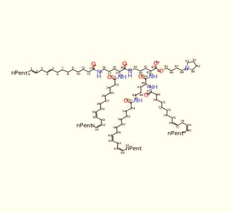 CCCCCC=CCC=CCCCCCCCC(=O)NCCCC(NC(=O)CCCCCCC/C=C\C/C=C\CCCCC)C(=O)NCCCC(NC(=O)C(CCCNC(=O)CCCCCCC/C=C\C/C=C\CCCCC)NC(=O)CCCCCCC/C=C\C/C=C\CCCCC)C(=O)OCCCCN1CCCC1